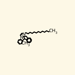 CCCCCCCCCCCCCN1C=CN(c2ccccc2)C1(Cc1ccccc1)C(CC)c1ccccc1